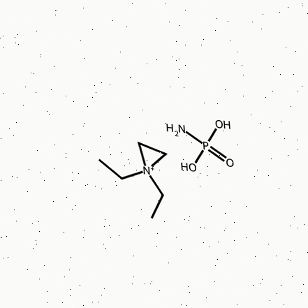 CC[N+]1(CC)CC1.NP(=O)(O)O